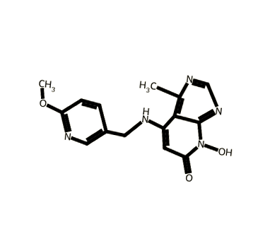 COc1ccc(CNc2cc(=O)n(O)c3ncnc(C)c23)cn1